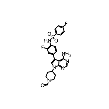 Nc1ncnc2c1c(-c1ccc(NS(=O)(=O)c3ccc(F)cc3)c(F)c1)cn2C1CCN(C=O)CC1